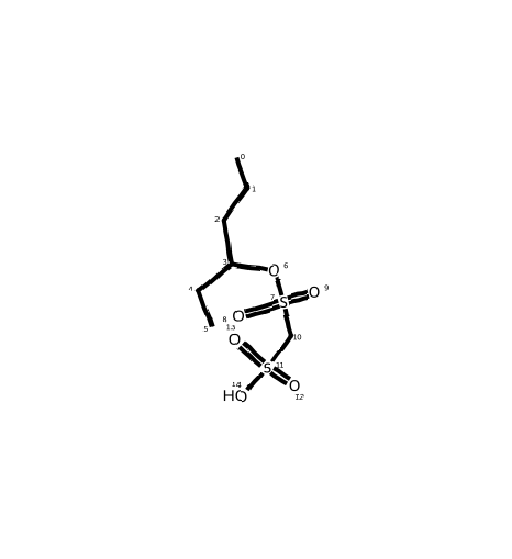 CCCC(CC)OS(=O)(=O)CS(=O)(=O)O